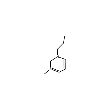 CCCN1C=CC=[N+](C)C1